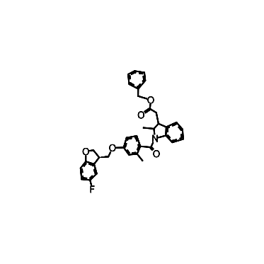 Cc1cc(OC[C@@H]2COc3ccc(F)cc32)ccc1C(=O)N1c2ccccc2C(CC(=O)OCc2ccccc2)C1C